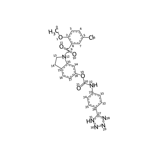 COc1ccc(Cl)cc1S(=O)(=O)N1CCc2ccc(OC(=O)Nc3ccc(-c4nnn[nH]4)cc3)cc21